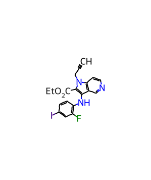 C#CCn1c(C(=O)OCC)c(Nc2ccc(I)cc2F)c2cnccc21